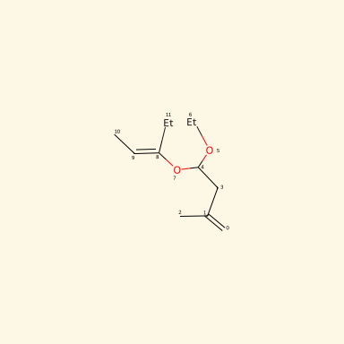 C=C(C)CC(OCC)OC(=CC)CC